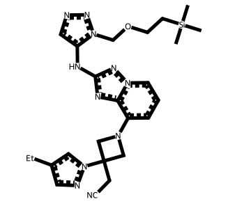 CCc1cnn(C2(CC#N)CN(c3cccn4nc(Nc5cnnn5COCC[Si](C)(C)C)nc34)C2)c1